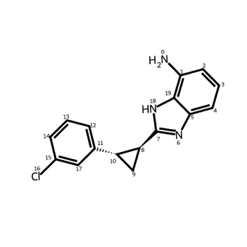 Nc1cccc2nc([C@H]3C[C@@H]3c3cccc(Cl)c3)[nH]c12